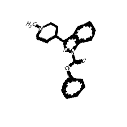 CN1CCC(c2nn(C(=O)Oc3ccccc3)c3ccccc23)CC1